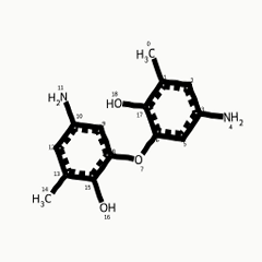 Cc1cc(N)cc(Oc2cc(N)cc(C)c2O)c1O